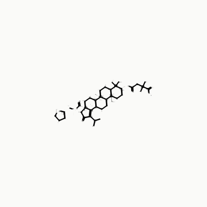 CC(C)C1=C2C3CCC4[C@@]5(C)CC[C@H](OC(=O)CC(C)(C)C(=O)O)C(C)(C)C5CC[C@@]4(C)[C@]3(C)CC[C@@]2(C(=O)NC[C@@H]2CCCN2)CC1=O